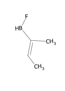 C/C=C(\C)BF